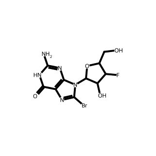 Nc1nc2c(nc(Br)n2C2OC(CO)C(F)C2O)c(=O)[nH]1